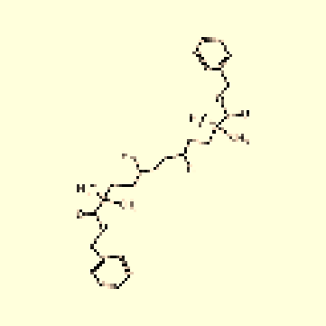 CC(C)(CCC(O)CCC(O)CCC(C)(C)C(=O)OCc1ccccc1)C(=O)OCc1ccccc1